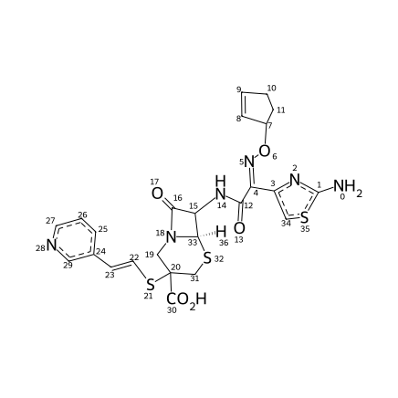 Nc1nc(C(=NOC2C=CCC2)C(=O)NC2C(=O)N3CC(SC=Cc4cccnc4)(C(=O)O)CS[C@H]23)cs1